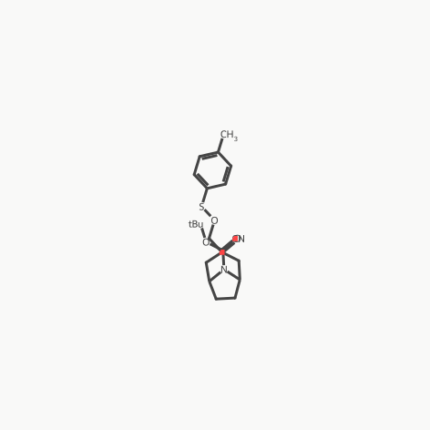 Cc1ccc(SOCC2(C#N)CC3CCC(C2)N3C(=O)OC(C)(C)C)cc1